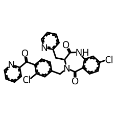 O=C(c1ccccn1)c1ccc(CN2C(=O)c3ccc(Cl)cc3NC(=O)C2Cc2ccccn2)cc1Cl